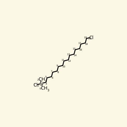 C[Si](C)(Cl)CCCCCCCCCCCCCCCCCl